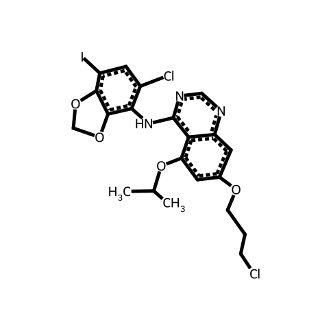 CC(C)Oc1cc(OCCCCl)cc2ncnc(Nc3c(Cl)cc(I)c4c3OCO4)c12